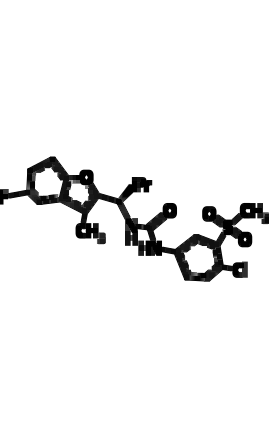 Cc1c([C@H](NC(=O)Nc2ccc(Cl)c(S(C)(=O)=O)c2)C(C)C)oc2ccc(F)cc12